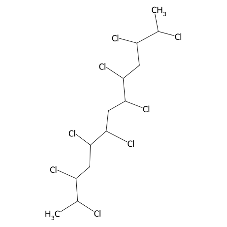 CC(Cl)C(Cl)CC(Cl)C(Cl)CC(Cl)C(Cl)CC(Cl)C(C)Cl